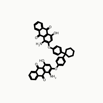 Nc1c(Oc2ccc(C3(c4ccc(Oc5cc(O)c6c(c5N)C(=O)c5ccccc5C6=O)cc4)CCCCC3)cc2)cc(O)c2c1C(=O)c1ccccc1C2=O